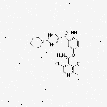 Cc1ncc(Cl)c([C@@H](N)Oc2ccc3[nH]nc(-c4cnc(N5CCNCC5)nc4)c3c2)c1Cl